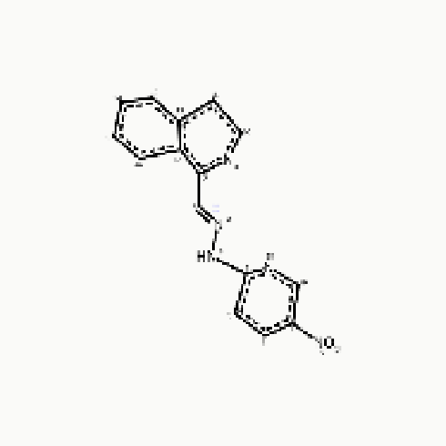 O=[N+]([O-])c1ccc(N/N=C/c2nccc3ccccc23)nc1